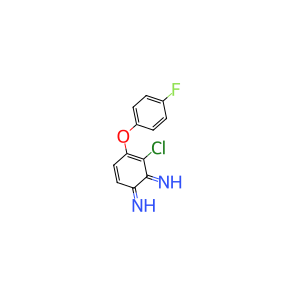 N=C1C=CC(Oc2ccc(F)cc2)=C(Cl)C1=N